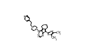 Cc1nc(-c2c3ncnn(N4CCN(CCc5ccncc5)CC4)c-3c3c2CCCC3)sc1C